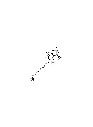 CSc1cc(C)nc(SC)c1NC(=O)CCCCCCCCBr